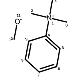 C[N+](C)(C)c1ccccc1.C[O-]